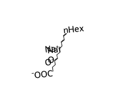 CCCCCCC=CC=CCC=CCC=C(CCCC(=O)[O-])O[O-].[Na+].[Na+]